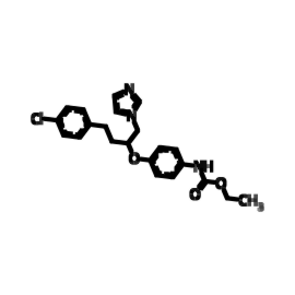 CCOC(=O)Nc1ccc(OC(CCc2ccc(Cl)cc2)Cn2ccnc2)cc1